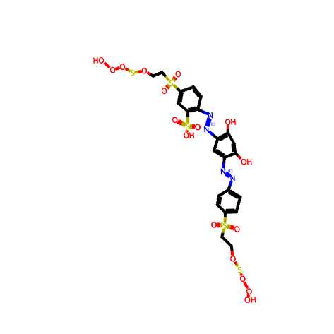 O=S(=O)(O)c1cc(S(=O)(=O)CCOSOOO)ccc1/N=N/c1cc(/N=N/c2ccc(S(=O)(=O)CCOSOOO)cc2)c(O)cc1O